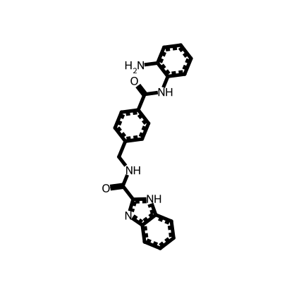 Nc1ccccc1NC(=O)c1ccc(CNC(=O)c2nc3ccccc3[nH]2)cc1